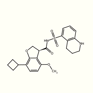 COc1ccc(C2CCC2)c2c1[C@H](C(=O)NS(=O)(=O)c1cccc3c1CCCN3)CO2